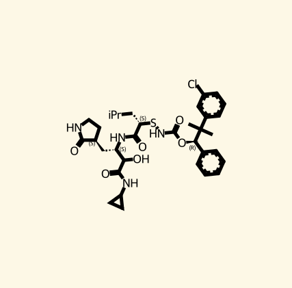 CC(C)C[C@H](SNC(=O)O[C@H](c1ccccc1)C(C)(C)c1cccc(Cl)c1)C(=O)N[C@@H](C[C@@H]1CCNC1=O)C(O)C(=O)NC1CC1